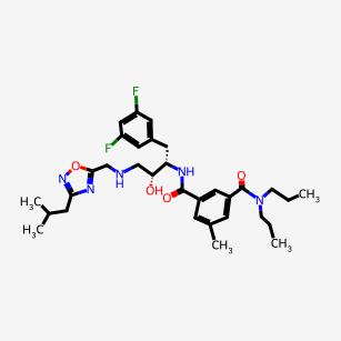 CCCN(CCC)C(=O)c1cc(C)cc(C(=O)N[C@@H](Cc2cc(F)cc(F)c2)[C@H](O)CNCc2nc(CC(C)C)no2)c1